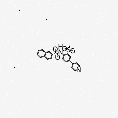 CS(=O)(=O)c1cc(-c2ccncc2)ccc1NS(=O)(=O)c1ccc2ccccc2c1